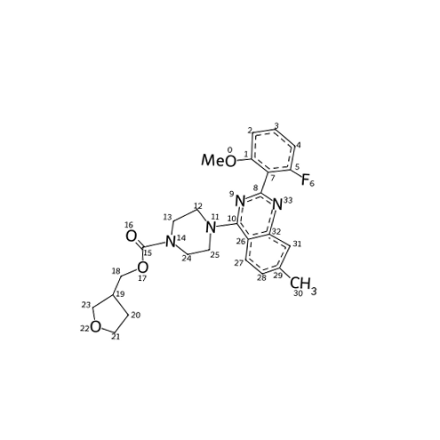 COc1cccc(F)c1-c1nc(N2CCN(C(=O)OCC3CCOC3)CC2)c2ccc(C)cc2n1